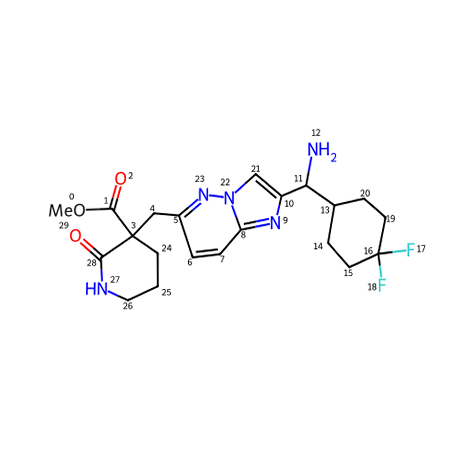 COC(=O)C1(Cc2ccc3nc(C(N)C4CCC(F)(F)CC4)cn3n2)CCCNC1=O